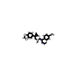 C/C=C\C(=C/N(C)CC1(c2ccc3c(c2)OCO3)CC1)c1ccc(C(C)C)cc1